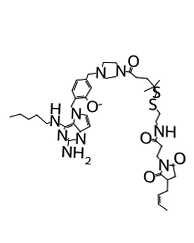 C/C=C\CC1CC(=O)N(CCC(=O)NCCSSC(C)(C)CCC(=O)N2CCN(Cc3ccc(Cn4ccc5nc(N)nc(NCCCCC)c54)c(OC)c3)CC2)C1=O